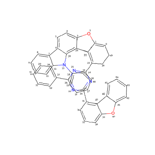 C1=c2oc3ccc4c5ccccc5n(-c5ccccc5)c4c3c2=C(c2nc(-c3ccccc3)nc(-c3cccc4oc5ccccc5c34)n2)CC1